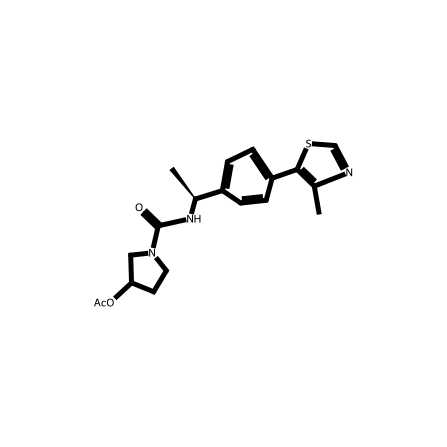 CC(=O)OC1CCN(C(=O)N[C@@H](C)c2ccc(-c3scnc3C)cc2)C1